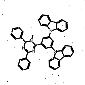 CN1C(c2cc(-n3c4ccccc4c4ccccc43)cc(-n3c4ccccc4c4ccccc43)c2)=NC(c2ccccc2)=NC1c1ccccc1